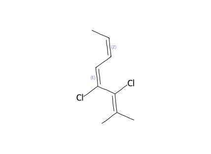 C/C=C\C=C(\Cl)C(Cl)=C(C)C